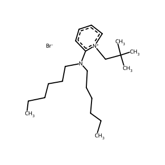 CCCCCCN(CCCCCC)c1cccc[n+]1CC(C)(C)C.[Br-]